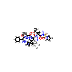 C=C[C@@H]1C[C@]1(NC(=O)[C@@H]1C[C@@]2(CN1C(=O)[C@@H](NC(=O)C(N)C1CCCCC1)C(C)(C)C)C(C)(C)C21CCC1)C(=O)NS(=O)(=O)N1CCCC1